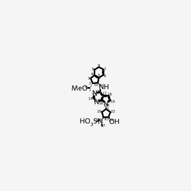 COC[C@@H]1CC2=C(C=CCC2)[C@@H]1Nc1ncnc2c1ccn2[C@@H]1C[C@@H](O)[C@H](N(C)S(=O)(=O)O)C1